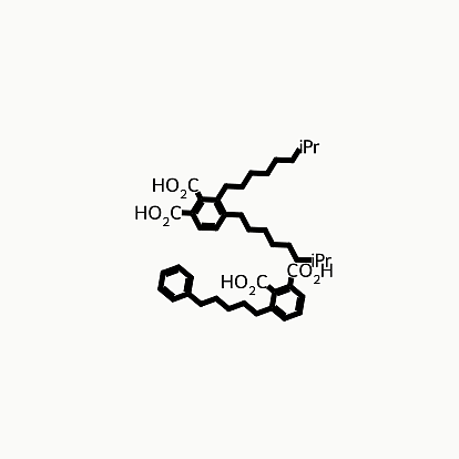 CC(C)CCCCCCc1ccc(C(=O)O)c(C(=O)O)c1CCCCCCC(C)C.O=C(O)c1cccc(CCCCCc2ccccc2)c1C(=O)O